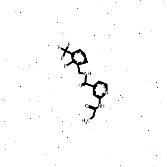 CCC(=O)Nc1cc(C(=O)NCc2cccc(C(F)(F)F)c2F)ccn1